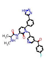 CNC(C)C(=O)Nc1ccc(-c2cccc(-c3c[nH]nn3)c2)n(Cc2cncc(C(=O)c3ccc(F)cc3)c2)c1=O